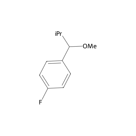 COC(c1ccc(F)cc1)C(C)C